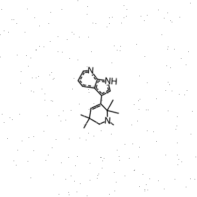 CN1CC(C)(C)C=C(c2c[nH]c3ncccc23)C1(C)C